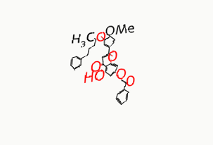 COc1ccc(-c2cc(=O)c3c(O)cc(OCC(=O)c4ccccc4)cc3o2)cc1OC(C)CCCc1ccccc1